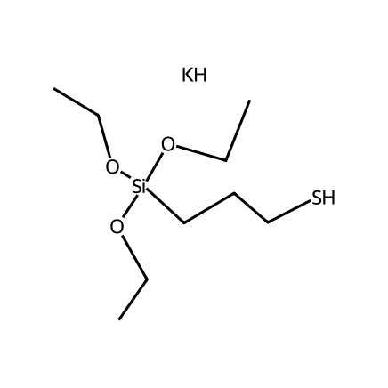 CCO[Si](CCCS)(OCC)OCC.[KH]